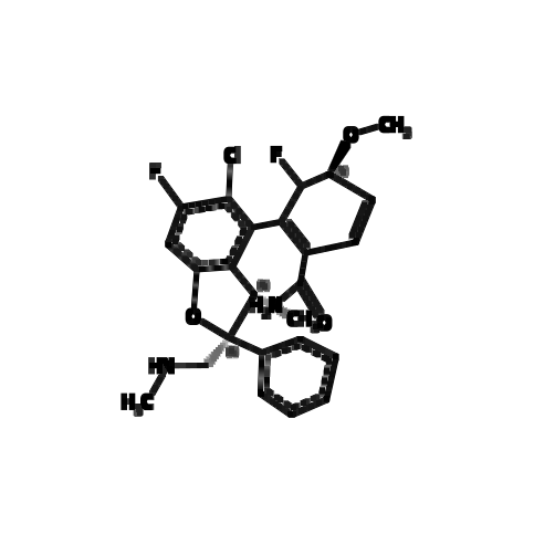 CNC[C@]1(c2ccccc2)Oc2cc(F)c(Cl)c(C3=C(C(N)=O)C=C[C@H](OC)C3F)c2[C@@H]1C